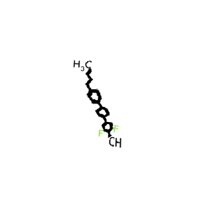 C#Cc1c(F)cc(-c2ccc(-c3ccc(CC/C=C/C)cc3)cc2)cc1F